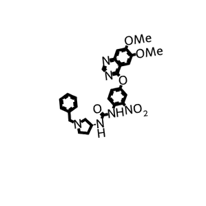 COc1cc2ncnc(Oc3ccc(NC(=O)N[C@@H]4CCN(Cc5ccccc5)C4)c([N+](=O)[O-])c3)c2cc1OC